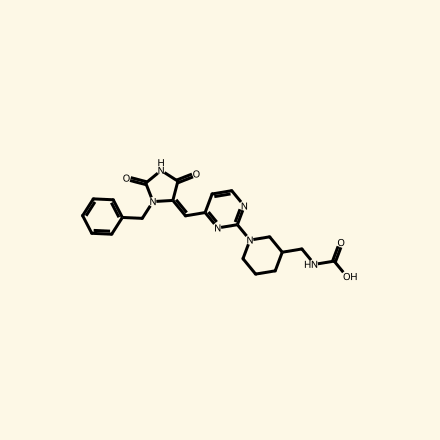 O=C(O)NCC1CCCN(c2nccc(/C=C3\C(=O)NC(=O)N3Cc3ccccc3)n2)C1